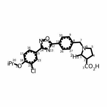 [2H]C1C(C(=O)O)CCN1Cc1ccc(-c2nc(-c3ccc(OC(C)C)c(Cl)c3)no2)cc1